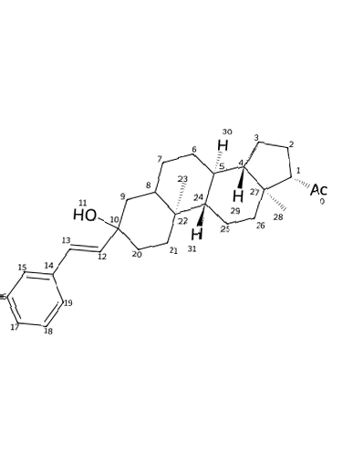 CC(=O)[C@H]1CC[C@H]2[C@@H]3CCC4CC(O)(/C=C/c5ccccc5)CC[C@]4(C)[C@H]3CC[C@]12C